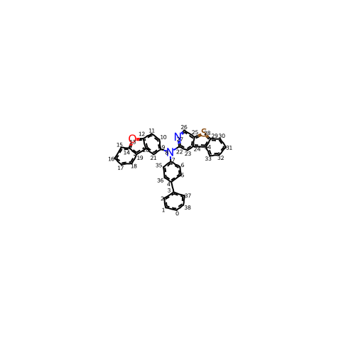 c1ccc(-c2ccc(N(c3ccc4oc5ccccc5c4c3)c3cc4c(cn3)sc3ccccc34)cc2)cc1